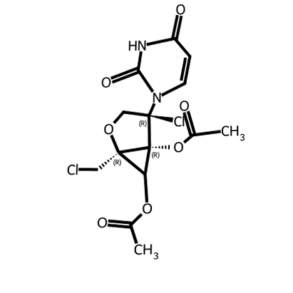 CC(=O)OC1[C@@]2(OC(C)=O)[C@]1(CCl)OC[C@]2(Cl)n1ccc(=O)[nH]c1=O